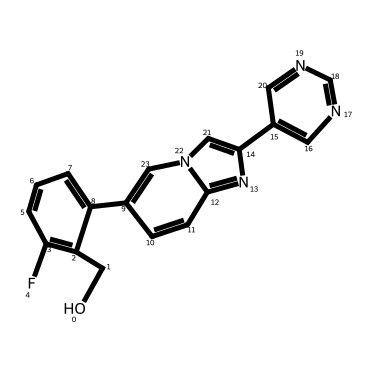 OCc1c(F)cccc1-c1ccc2nc(-c3cncnc3)cn2c1